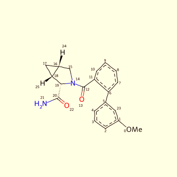 COc1cccc(-c2ccccc2C(=O)N2C[C@H]3C[C@H]3[C@H]2C(N)=O)c1